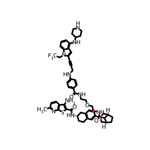 Cc1ccc2c(N)c(C(=O)N[C@H]3CCc4cc(N5C[C@H]6CC[C@@H](C5)C6C(=O)NCCOCCNC(=O)c5ccc(NCC#Cc6cc7c(NC8CCNCC8)cccc7n6CC(F)(F)F)cc5)ccc4C3)sc2n1